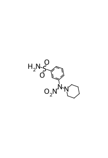 NS(=O)(=O)c1cccc(N(N2CCCCC2)[N+](=O)[O-])c1